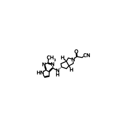 Cc1nc(N[C@@H]2C[C@@H]3CN(C(=O)CC#N)C[C@@H]3C2)c2cc[nH]c2n1